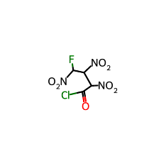 O=C(Cl)C(C(C(F)[N+](=O)[O-])[N+](=O)[O-])[N+](=O)[O-]